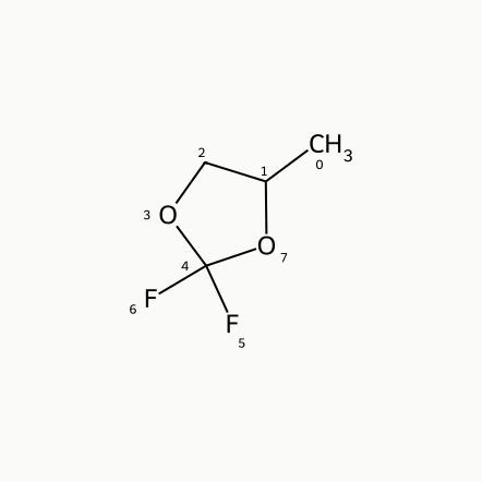 CC1COC(F)(F)O1